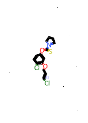 S=C(Oc1ccc(Cl)c(OC/C=C/Cl)c1)N1CCCC1